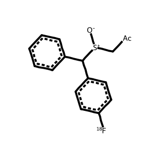 CC(=O)C[S+]([O-])C(c1ccccc1)c1ccc([18F])cc1